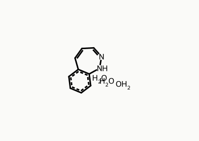 C1=Cc2ccccc2NN=C1.O.O.O